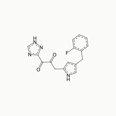 O=C(Cc1cc(Cc2ccccc2F)c[nH]1)C(=O)c1nc[nH]n1